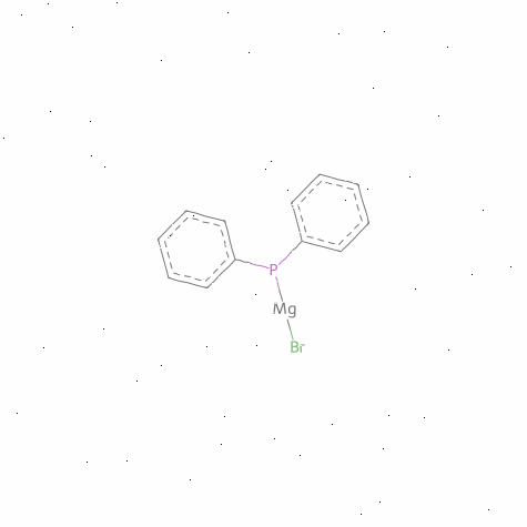 [Br][Mg][P](c1ccccc1)c1ccccc1